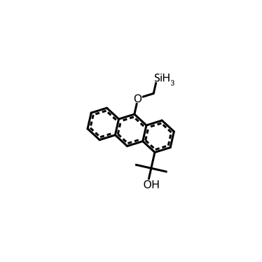 CC(C)(O)c1cccc2c(OC[SiH3])c3ccccc3cc12